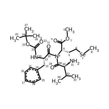 COC(=O)[C@H](CC[Se]C)N(C(=O)[C@H](Cc1ccccc1)NC(=O)OC(C)(C)C)C(=O)[C@@H](N)C(C)C